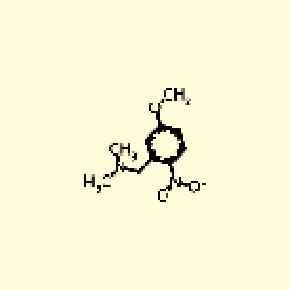 COc1ccc([N+](=O)[O-])c(CN(C)C)c1